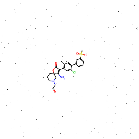 Cc1cc(-c2cccc(S(C)(=O)=O)c2)c(Cl)cc1C1=C(N)C2(CCCN(CC=O)C2)OC1=O